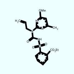 C=CCN(C(=O)NS(=O)(=O)c1ccccc1C(=O)OCC)c1nc(C)cc(OC)n1